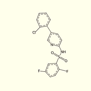 O=S(=O)(Nc1ccc(-c2ccccc2Cl)cn1)c1cc(F)ccc1F